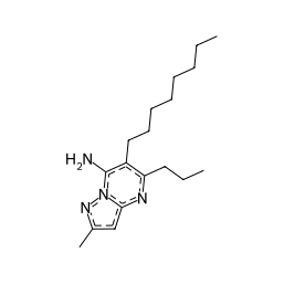 CCCCCCCCc1c(CCC)nc2cc(C)nn2c1N